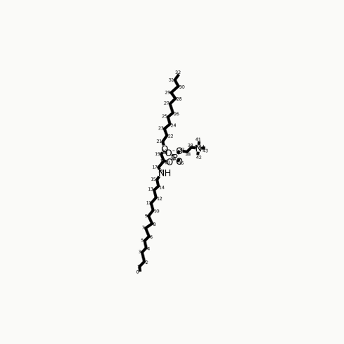 CCCCCCCCCCCCCCCCNCC(COCCCCCCCCCCCC)OP(=O)([O-])OCC[N+](C)(C)C